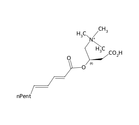 CCCCCC=CC=CC(=O)O[C@H](CC(=O)O)C[N+](C)(C)C